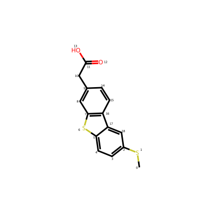 CSc1ccc2sc3cc(CC(=O)O)ccc3c2c1